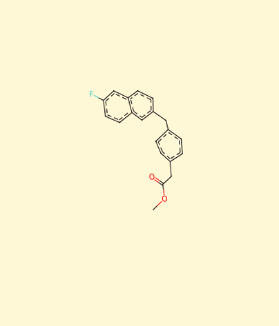 COC(=O)Cc1ccc(Cc2ccc3cc(F)ccc3c2)cc1